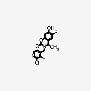 CC1c2cc(F)c(O)cc2OC(=O)N1Cc1ccnc(Cl)c1F